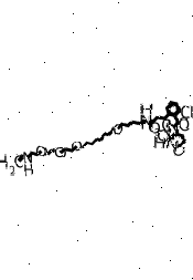 C=CNCCOCCOCCOCCCCCCCCOCCCCNC(=O)CCc1cccc(C=O)c1C(=O)N(C)C1CCC(=O)NC1=O